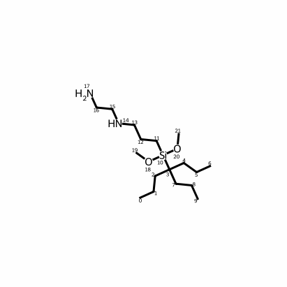 CCCC(CCC)(CCC)[Si](CCCNCCN)(OC)OC